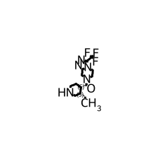 CC[C@@H]1CNCC[C@@H]1C(=O)N1CCn2c(nnc2C(F)(F)F)C1